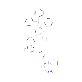 Cc1nn(C(c2ccccc2)(c2ccccc2)c2ccccc2)cc1-c1ccc2ncc(-c3ccc(C(=O)N4CCC[C@H]4C(N)=O)s3)n2c1